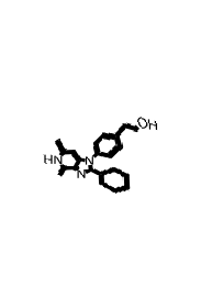 C=C1C=C2C(=NC(C3CCCCC3)N2c2ccc(CCO)cc2)C(=C)N1